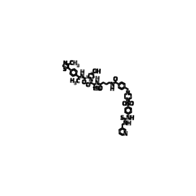 Cc1ncsc1-c1ccc(C(C)NC(=O)[C@@H]2C[C@@H](O)CN2C(=O)C(NC(=O)CCCNC(=O)c2ccc(CN3CCN(S(=O)(=O)c4ccc(NC(=S)NCc5cccnc5)cc4)CC3)cc2)C(C)(C)C)cc1